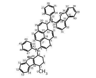 CC1CCC(N(C2=CCC3C=CC4c5c(ccc2c53)C=CC4N(c2ccccc2)c2cccc3c2sc2ccccc23)c2ccccc2)c2sc3ccccc3c21